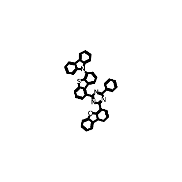 C1=CC(c2nc(-c3ccccc3)nc(-c3cccc4sc5c(-n6c7ccccc7c7ccccc76)cccc5c34)n2)=C2Oc3ccccc3C2C1